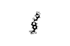 Cc1nc(CC(=O)N2CCc3cc(C(=O)NO)ccc3C2)cs1